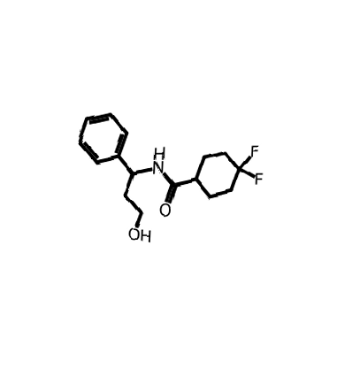 O=C(NC(CCO)c1ccccc1)C1CCC(F)(F)CC1